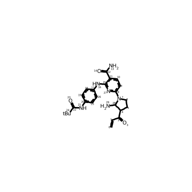 C=CC(=O)C1CCN(c2ccc(C(N)=O)c(Nc3ccc(NC(=O)C(C)(C)C)cc3)n2)C1N